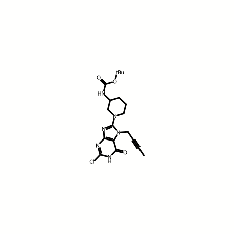 CC#CCn1c(N2CCCC(NC(=O)OC(C)(C)C)C2)nc2nc(Cl)[nH]c(=O)c21